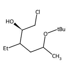 CCC(CC(C)OC(C)(C)C)[C@@H](O)CCl